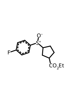 CCOC(=O)C1CCC([S+]([O-])c2ccc(F)cc2)C1